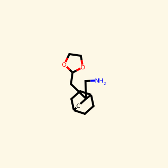 NCC1(CC2OCCO2)CC2CCC1CC2